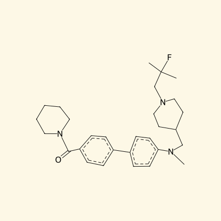 CN(CC1CCN(CC(C)(C)F)CC1)c1ccc(-c2ccc(C(=O)N3CCCCC3)cc2)cc1